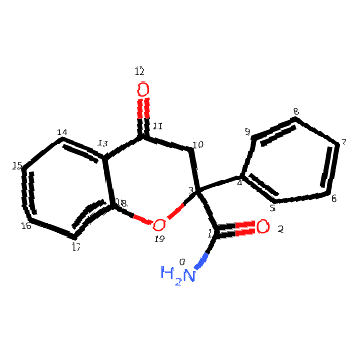 NC(=O)C1(c2ccccc2)CC(=O)c2ccccc2O1